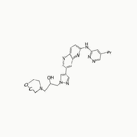 CC(C)c1cnnc(Nc2ccc3ncc(-c4cnn(CC(O)CN5CCOCC5)c4)cc3n2)c1